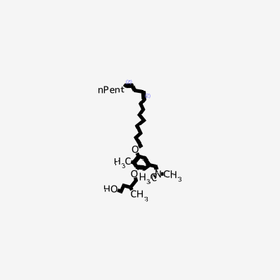 CCCCC/C=C\C/C=C\CCCCCCCCOc1cc(CN(C)C)cc(OCC(C)CCO)c1C